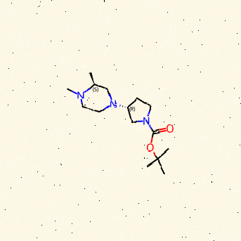 C[C@H]1CN([C@@H]2CCN(C(=O)OC(C)(C)C)C2)CCN1C